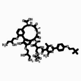 Cc1nc(-c2ccc(OCCC(C)(C)C)cc2)nc(N)c1C(=O)NC(CNS(N)(=O)=O)C(=O)N(C)[C@@H]1C(=O)N[C@@H](C)C(=O)N[C@H](C(=O)O)Cc2ccc(OCC(O)CN)c(c2)-c2cc1cc(OCC(O)CN)c2O